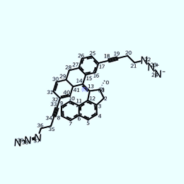 C[C@@H]1Cc2ccc3ccccc3c2/C1=C1/c2cc(C#CCCN=[N+]=[N-])ccc2CC2C=CC(C#CCCN=[N+]=[N-])=CC12